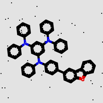 c1ccc(N(c2ccccc2)c2cc(N(c3ccccc3)c3ccccc3)cc(N(c3ccccc3)c3ccc(-c4ccc5oc6ccccc6c5c4)cc3)c2)cc1